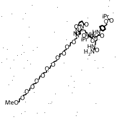 COCCOCCOCCOCCOCCOCCOCCOCCOCCOCCOCCOCCn1cc([C@H](CC(=O)N[C@H](C(=O)N[C@@H](CCCNC(N)=O)C(=O)Nc2ccc(COC(=O)C(C)C)cc2)C(C)C)N2C(=O)C=CC2=O)nn1